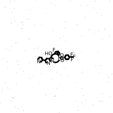 O=S(=O)(c1ccc(C(F)(F)F)cc1)N1CCCn2cc(c3cc(-c4cccnc4)cnc32)C(O)c2c(F)ccc1c2F